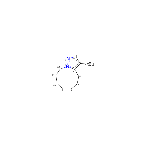 CC(C)(C)c1cnn2c1CCCCCCC2